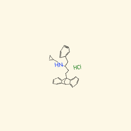 Cl.c1ccc(CC(CCC23CC(c4ccccc42)c2ccccc23)NCC2CC2)cc1